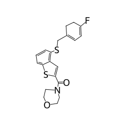 O=C(c1cc2c(SCC3=CC=C(F)CC3)cccc2s1)N1CCOCC1